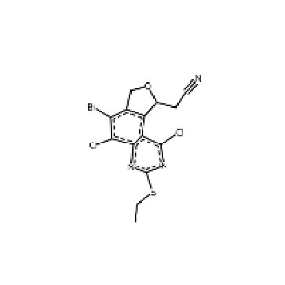 CCSc1nc(Cl)c2c3c(c(Br)c(Cl)c2n1)COC3CC#N